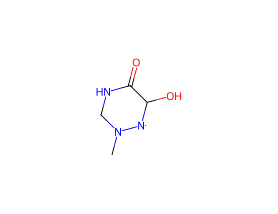 CN1CNC(=O)C(O)[N]1